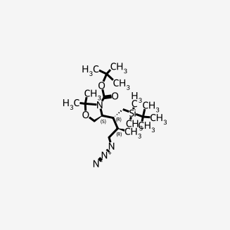 C[C@@H](CN=[N+]=[N-])[C@@H](C[Si](C)(C)C(C)(C)C)[C@H]1COC(C)(C)N1C(=O)OC(C)(C)C